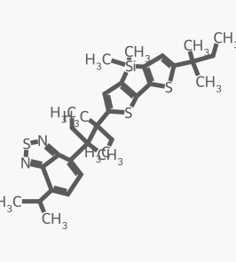 CCC(C)(C)c1cc2c(s1)-c1sc(C(C)(CC)C(C)(CC)c3ccc(C(C)C)c4nsnc34)cc1[Si]2(C)C